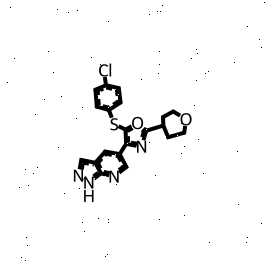 Clc1ccc(Sc2oc(C3CCOCC3)nc2-c2cnc3[nH]ncc3c2)cc1